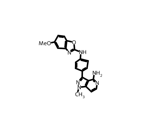 COc1ccc2oc(Nc3ccc(-c4nn(C)c5ccnc(N)c45)cc3)nc2c1